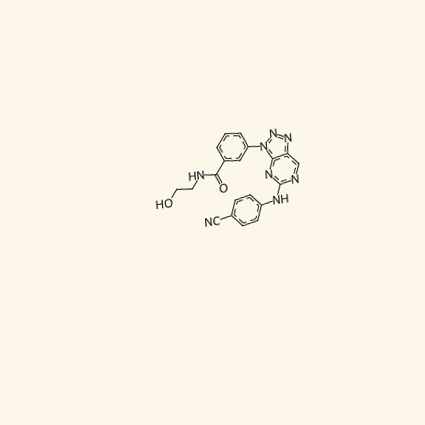 N#Cc1ccc(Nc2ncc3nnn(-c4cccc(C(=O)NCCO)c4)c3n2)cc1